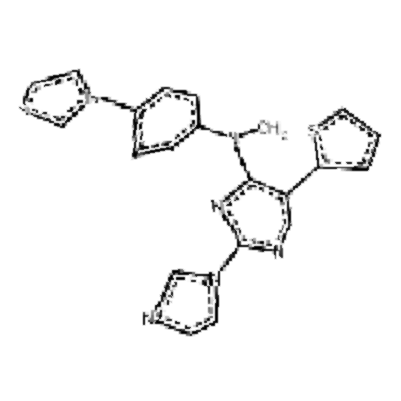 CN(c1ccc(-n2ccnc2)cc1)c1nc(-n2ccnc2)ncc1-c1cccs1